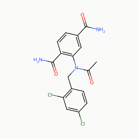 CC(=O)N(Cc1ccc(Cl)cc1Cl)c1cc(C(N)=O)ccc1C(N)=O